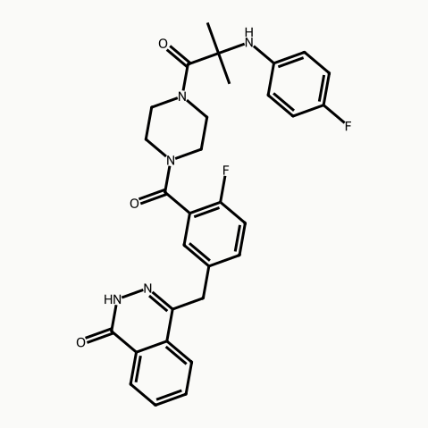 CC(C)(Nc1ccc(F)cc1)C(=O)N1CCN(C(=O)c2cc(Cc3n[nH]c(=O)c4ccccc34)ccc2F)CC1